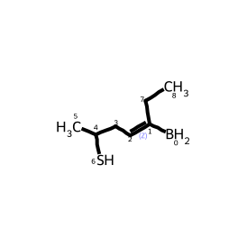 B/C(=C/CC(C)S)CC